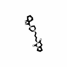 O=C1Cc2cccn2C(=O)N1CCCCN1CCN(c2nsc3ccccc23)CC1